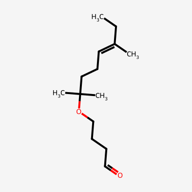 CCC(C)=CCCC(C)(C)OCCCC=O